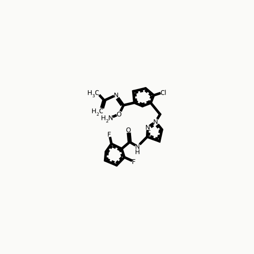 C=C(C)/N=C(\ON)c1ccc(Cl)c(Cn2ccc(NC(=O)c3c(F)cccc3F)n2)c1